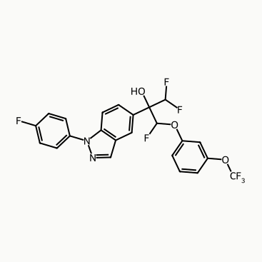 OC(c1ccc2c(cnn2-c2ccc(F)cc2)c1)(C(F)F)C(F)Oc1cccc(OC(F)(F)F)c1